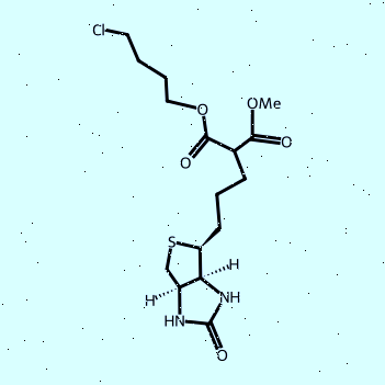 COC(=O)C(CCC[C@@H]1SC[C@@H]2NC(=O)N[C@@H]21)C(=O)OCCCCCl